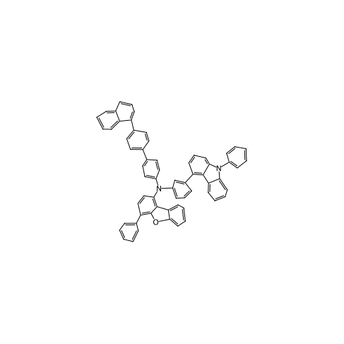 c1ccc(-c2ccc(N(c3ccc(-c4ccc(-c5cccc6ccccc56)cc4)cc3)c3cccc(-c4cccc5c4c4ccccc4n5-c4ccccc4)c3)c3c2oc2ccccc23)cc1